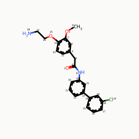 COc1cc(CC(=O)Nc2cccc(-c3cccc(Cl)c3)c2)ccc1OCCN